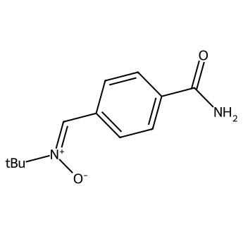 CC(C)(C)/[N+]([O-])=C/c1ccc(C(N)=O)cc1